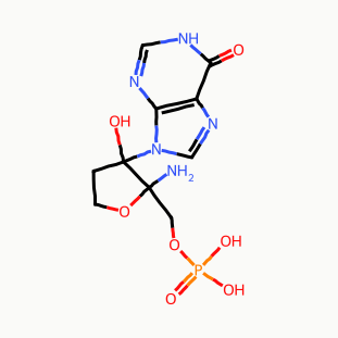 NC1(COP(=O)(O)O)OCCC1(O)n1cnc2c(=O)[nH]cnc21